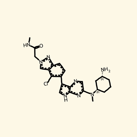 CNC(=O)Cn1cc2c(Cl)c(-c3c[nH]c4nc(N(C)[C@@H]5CCC[C@@H](N)C5)cnc34)ccc2n1